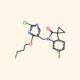 O=C1N(Cc2cnc(Cl)nc2OCCCF)c2cc(F)ccc2C12CC2